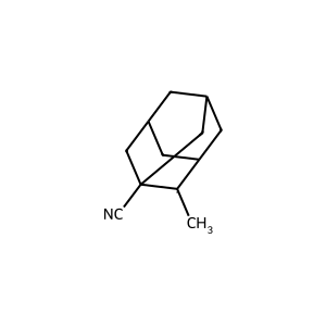 C[C]1C2CC3CC(C2)CC1(C#N)C3